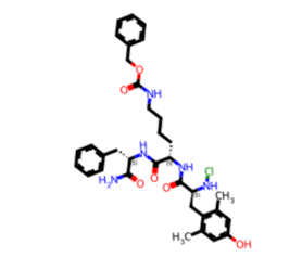 Cc1cc(O)cc(C)c1C[C@H](NCl)C(=O)N[C@@H](CCCCNC(=O)OCc1ccccc1)C(=O)N[C@@H](Cc1ccccc1)C(N)=O